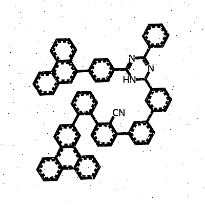 N#Cc1c(-c2cccc(-c3cccc(C4N=C(c5ccccc5)N=C(c5ccc(-c6cc7ccccc7c7ccccc67)cc5)N4)c3)c2)cccc1-c1ccccc1-c1ccc2c3ccccc3c3ccccc3c2c1